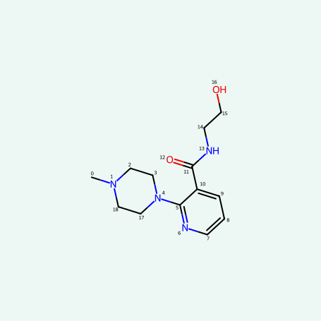 CN1CCN(c2ncccc2C(=O)NCCO)CC1